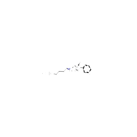 O=CCCC/C=N/OS(=O)(=O)c1ccccc1